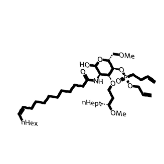 C=CCCP(=O)(OCC=C)O[C@H]1[C@H](OCC[C@@H](CCCCCCC)OC)[C@@H](NC(=O)CCCCCCCCC/C=C\CCCCCC)C(O)O[C@@H]1COC